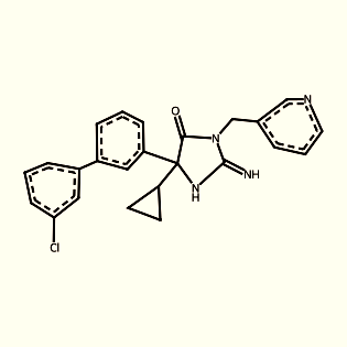 N=C1NC(c2cccc(-c3cccc(Cl)c3)c2)(C2CC2)C(=O)N1Cc1cccnc1